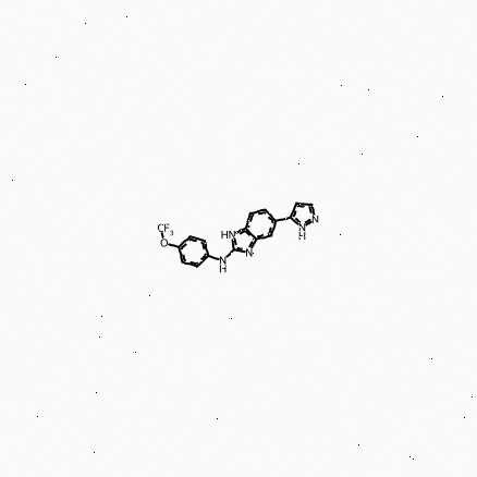 FC(F)(F)Oc1ccc(Nc2nc3cc(-c4ccn[nH]4)ccc3[nH]2)cc1